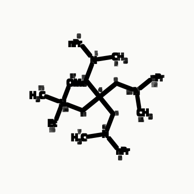 CCCN(C)CC(CN(C)CCC)(CN(C)CCC)C[Si](C)(CC)OC